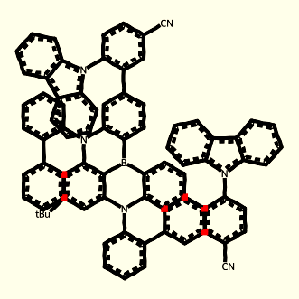 CC(C)(C)c1cc2c3c(c1)N(c1ccccc1-c1ccccc1)c1cc(-c4cc(C#N)ccc4-n4c5ccccc5c5ccccc54)ccc1B3c1ccc(-c3cc(C#N)ccc3-n3c4ccccc4c4ccccc43)cc1N2c1ccccc1-c1ccccc1